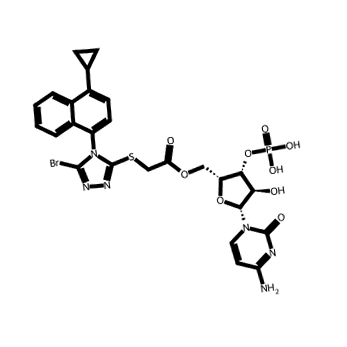 Nc1ccn([C@@H]2O[C@H](COC(=O)CSc3nnc(Br)n3-c3ccc(C4CC4)c4ccccc34)[C@H](OP(=O)(O)O)[C@H]2O)c(=O)n1